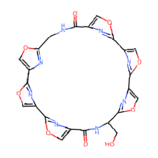 O=C1NCc2nc(co2)-c2nc(co2)-c2nc(co2)C(=O)NC(CO)c2nc(co2)-c2nc(co2)-c2nc1co2